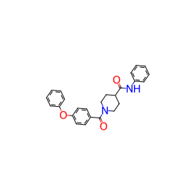 O=C(Nc1ccccc1)C1CCN(C(=O)c2ccc(Oc3ccccc3)cc2)CC1